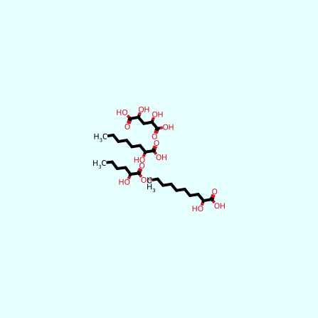 CCCCC(O)C(=O)O.CCCCCCC(O)C(=O)O.CCCCCCCCC(O)C(=O)O.O=C(O)C(O)CC(O)C(=O)O